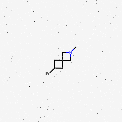 CC(C)C1CC2(C1)CN(C)C2